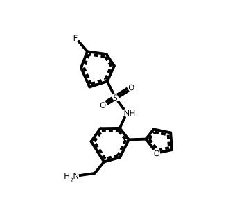 NCc1ccc(NS(=O)(=O)c2ccc(F)cc2)c(-c2ccco2)c1